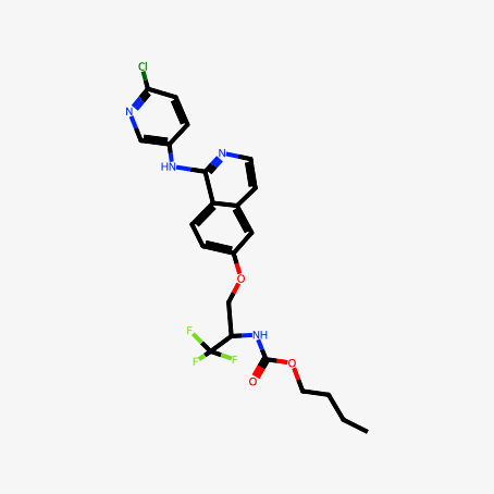 CCCCOC(=O)NC(COc1ccc2c(Nc3ccc(Cl)nc3)nccc2c1)C(F)(F)F